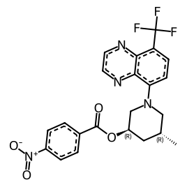 C[C@@H]1C[C@@H](OC(=O)c2ccc([N+](=O)[O-])cc2)CN(c2ccc(C(F)(F)F)c3nccnc23)C1